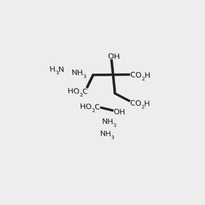 N.N.N.N.O=C(O)CC(O)(CC(=O)O)C(=O)O.O=C(O)O